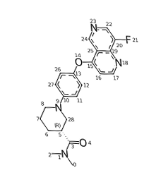 CN(C)C(=O)[C@@H]1CCCN(c2ccc(Oc3ccnc4c(F)cncc34)cc2)C1